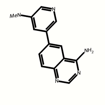 CNc1cncc(-c2ccc3ncnc(N)c3c2)c1